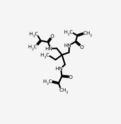 C=C(C)C(=O)NCC(CC)(CNC(=O)C(=C)C)CNC(=O)C(=C)C